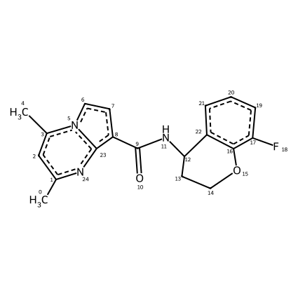 Cc1cc(C)n2ccc(C(=O)NC3CCOc4c(F)cccc43)c2n1